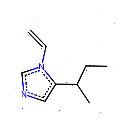 C=Cn1cncc1C(C)CC